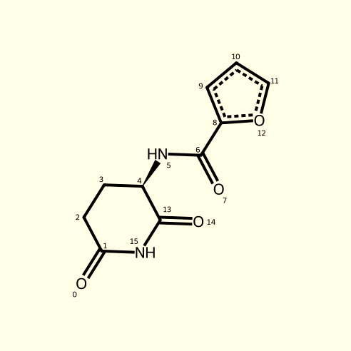 O=C1CC[C@@H](NC(=O)c2ccco2)C(=O)N1